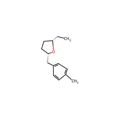 CC[C@H]1CC[C@@H](Cc2ccc(C)cc2)O1